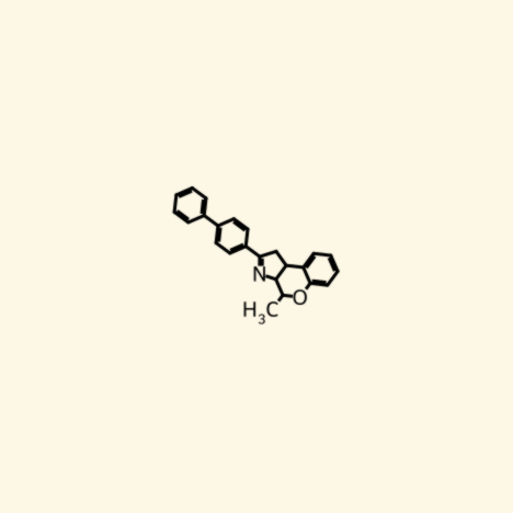 CC1Oc2ccccc2C2CC(c3ccc(-c4ccccc4)cc3)=NC12